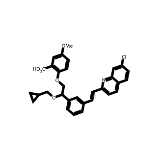 COc1ccc(OCC(OCC2CC2)c2cccc(/C=C/c3ccc4ccc(Cl)cc4n3)c2)c(C(=O)O)c1